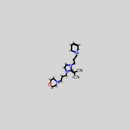 N#CC(C#N)=C1N(CCCN2CC=CCC2)CCN1CCCN1CCOCC1